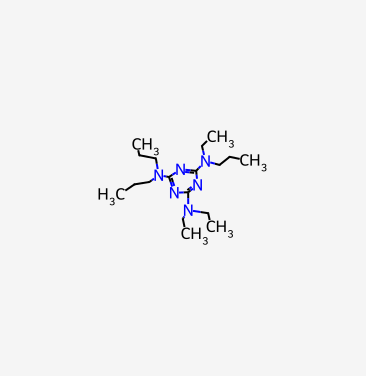 CCCN(CC)c1nc(N(CC)CC)nc(N(CCC)CCC)n1